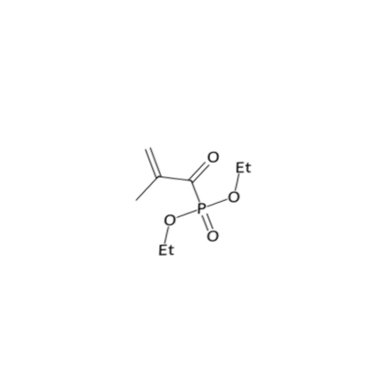 C=C(C)C(=O)P(=O)(OCC)OCC